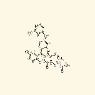 Cc1nccc(Oc2ccc(/N=c3\[nH]c(=O)n(C[C@H](C)C(=O)O)c(=O)n3Cc3ccc(Cl)cc3)cc2)n1